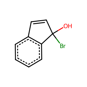 OC1(Br)C=Cc2ccccc21